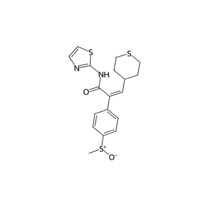 C[S+]([O-])c1ccc(C(=CC2CCSCC2)C(=O)Nc2nccs2)cc1